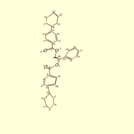 O=C(OC[C@H](OC(=O)c1ccc(C2CCCCC2)cc1)c1ccccc1)c1ccc(C2CCCCC2)cc1